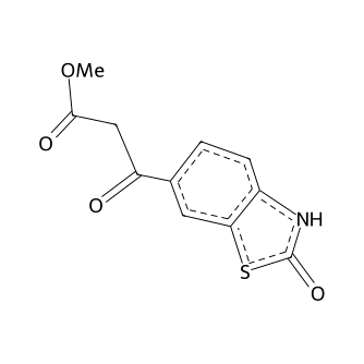 COC(=O)CC(=O)c1ccc2[nH]c(=O)sc2c1